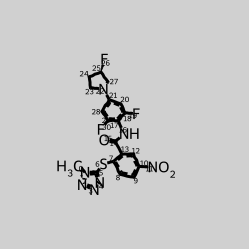 Cn1nnnc1Sc1ccc([N+](=O)[O-])cc1C(=O)Nc1c(F)cc(N2CC[C@@H](F)C2)cc1F